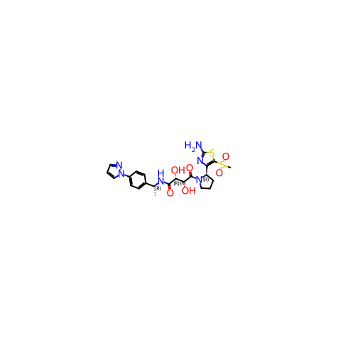 C[C@@H](NC(=O)[C@H](O)[C@@H](O)C(=O)N1CCC[C@@H]1c1nc(N)sc1S(C)(=O)=O)c1ccc(-n2cccn2)cc1